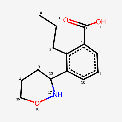 CCCc1c(C(=O)O)cccc1C1CCCON1